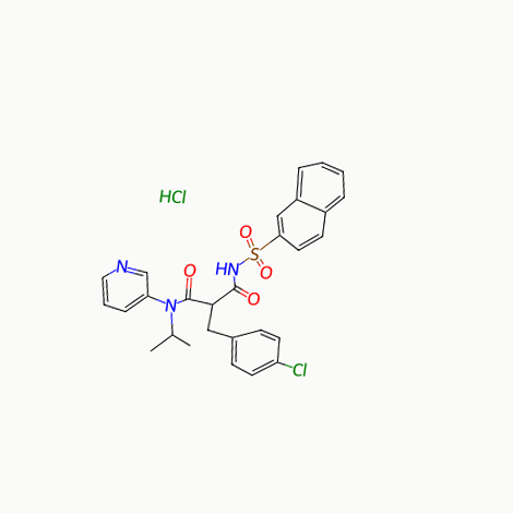 CC(C)N(C(=O)C(Cc1ccc(Cl)cc1)C(=O)NS(=O)(=O)c1ccc2ccccc2c1)c1cccnc1.Cl